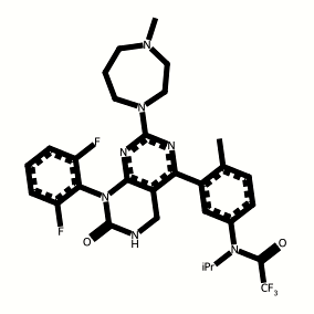 Cc1ccc(N(C(=O)C(F)(F)F)C(C)C)cc1-c1nc(N2CCCN(C)CC2)nc2c1CNC(=O)N2c1c(F)cccc1F